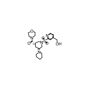 O=C([C@H]1C[C@@H](N2CCCCC2)CN(S(=O)(=O)c2cc(CO)ccn2)C1)N1CCOCC1